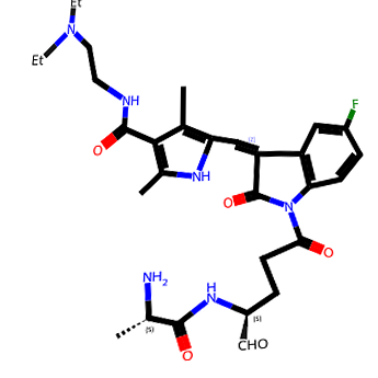 CCN(CC)CCNC(=O)c1c(C)[nH]c(/C=C2\C(=O)N(C(=O)CC[C@@H](C=O)NC(=O)[C@H](C)N)c3ccc(F)cc32)c1C